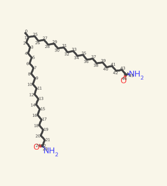 CC(CCCCCCCCCCCCCCCCCCCCC(N)=O)CCCCCCCCCCCCCCCCCCCC(N)=O